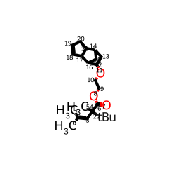 CC(C)=CC(C)(C(=O)OCCOC1CC2CC1C1C=CCC21)C(C)(C)C